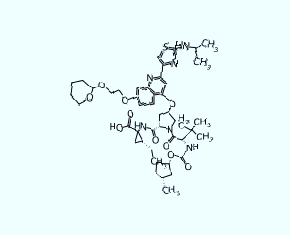 CC[C@@H]1C[C@]1(NC(=O)[C@@H]1C[C@@H](Oc2cc(-c3csc(NC(C)C)n3)nc3cc(OCCOC4CCCCO4)ccc23)CN1C(=O)[C@@H](NC(=O)O[C@H]1CC[C@@H](C)C1)C(C)(C)C)C(=O)O